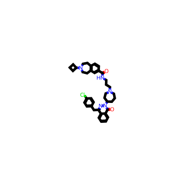 O=C(NCCCN1CCCC(n2nc(Cc3ccc(Cl)cc3)c3ccccc3c2=O)CC1)c1ccc2c(c1)CCN(C1CCC1)CC2